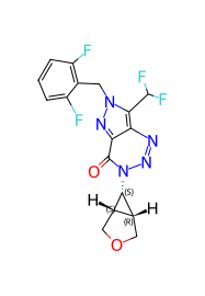 O=c1c2nn(Cc3c(F)cccc3F)c(C(F)F)c2nnn1[C@@H]1[C@@H]2COC[C@@H]21